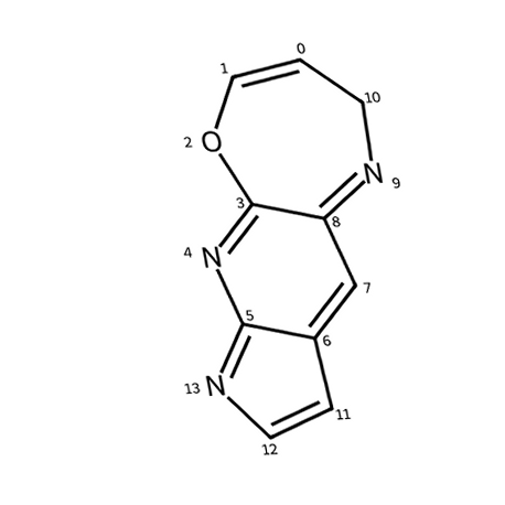 C1=COc2nc3c(cc2=NC1)C=CN=3